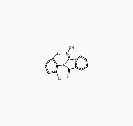 CCc1cccc(CC)c1N1C(=O)c2ccccc2C1=NO